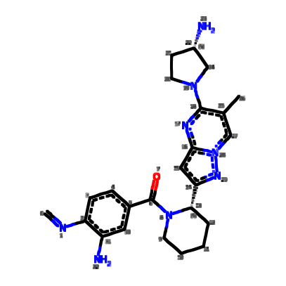 C=Nc1ccc(C(=O)N2CCCC[C@H]2c2cc3nc(N4CC[C@H](N)C4)c(C)cn3n2)cc1N